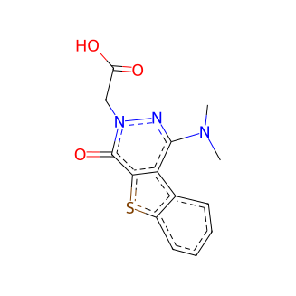 CN(C)c1nn(CC(=O)O)c(=O)c2sc3ccccc3c12